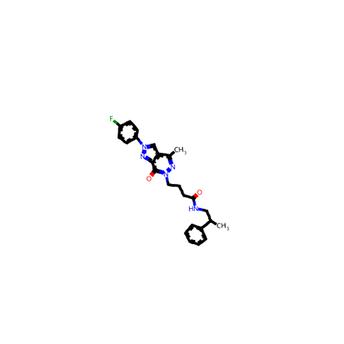 Cc1nn(CCCC(=O)NCC(C)c2ccccc2)c(=O)c2nn(-c3ccc(F)cc3)cc12